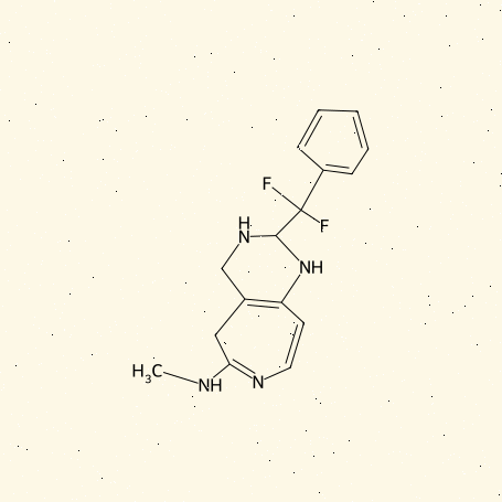 CNC1=NC=CC2=C(CNC(C(F)(F)c3ccccc3)N2)C1